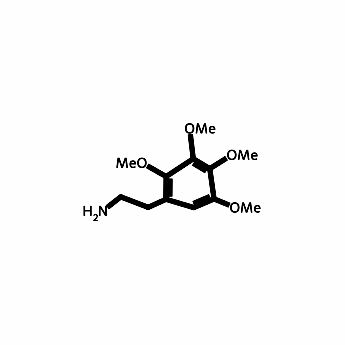 COc1cc(CCN)c(OC)c(OC)c1OC